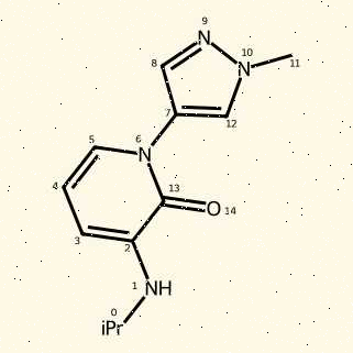 CC(C)Nc1cccn(-c2cnn(C)c2)c1=O